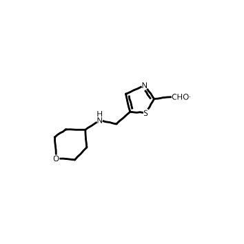 O=[C]c1ncc(CNC2CCOCC2)s1